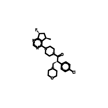 C[C@@H]1C[C@@H](F)c2ncnc(N3CCN(C(=O)[C@@H](CN4CCOCC4)c4ccc(Cl)cc4)CC3)c21